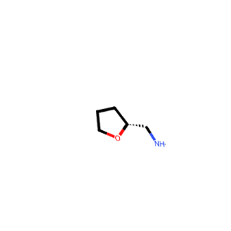 [NH]C[C@H]1CCCO1